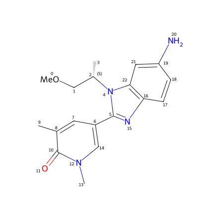 COC[C@H](C)n1c(-c2cc(C)c(=O)n(C)c2)nc2ccc(N)cc21